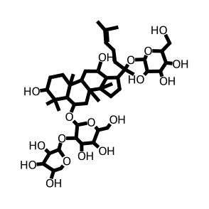 CC(C)=CCCC(C)(OC1OC(CO)C(O)C(O)C1O)C1CCC2(C)C1C(O)CC1C3(C)CCC(O)C(C)(C)C3C(OC3OC(CO)C(O)C(O)C3OC3OCC(O)C(O)C3O)CC12C